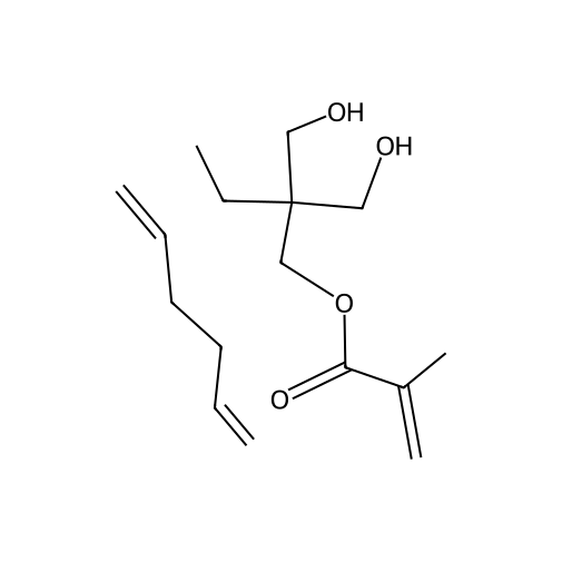 C=C(C)C(=O)OCC(CC)(CO)CO.C=CCCC=C